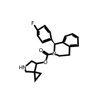 O=C(OC1CNCC12CC2)N1CCc2ccccc2[C@@H]1c1ccc(F)cc1